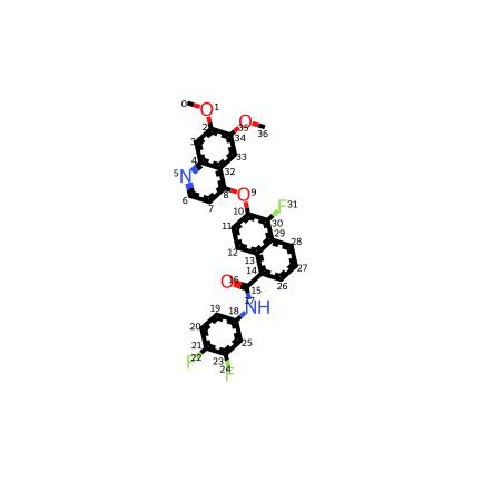 COc1cc2nccc(Oc3ccc4c(C(=O)Nc5ccc(F)c(F)c5)cccc4c3F)c2cc1OC